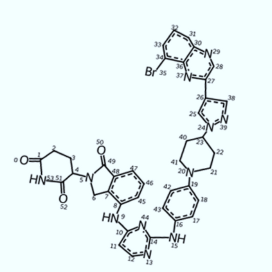 O=C1CCC(N2Cc3c(Nc4ccnc(Nc5ccc(N6CCC(n7cc(-c8cnc9cccc(Br)c9n8)cn7)CC6)cc5)n4)cccc3C2=O)C(=O)N1